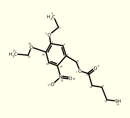 CCOc1cc(COC(=O)CCCS)c([N+](=O)[O-])cc1OCC